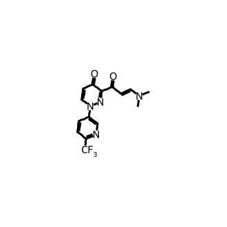 CN(C)C=CC(=O)c1nn(-c2ccc(C(F)(F)F)nc2)ccc1=O